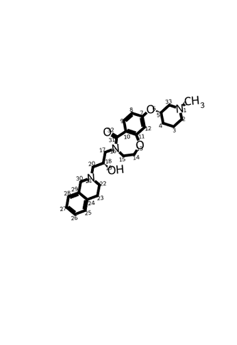 CN1CCC[C@H](Oc2ccc3c(c2)OCCN(C[C@H](O)CN2CCc4ccccc4C2)C3=O)C1